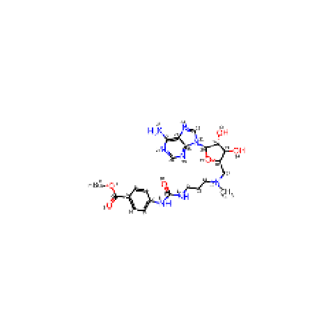 CCCCOC(=O)c1ccc(NC(=O)NCCCN(C)C[C@H]2O[C@@H](n3cnc4c(N)ncnc43)[C@H](O)[C@H]2O)cc1